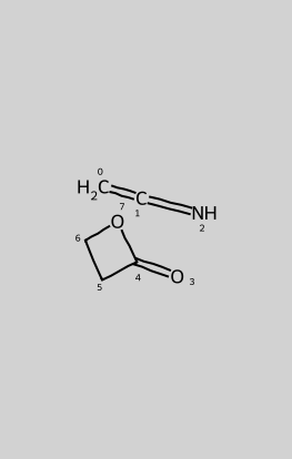 C=C=N.O=C1CCO1